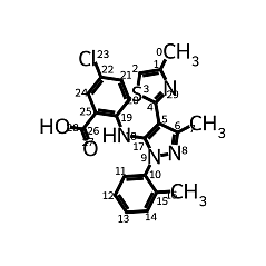 Cc1csc(-c2c(C)nn(-c3ccccc3C)c2Nc2ccc(Cl)cc2C(=O)O)n1